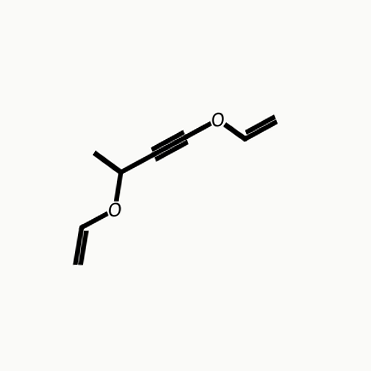 C=COC#CC(C)OC=C